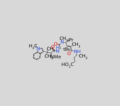 CN[C@H](C(=O)N[C@H](C(=O)N(C)[C@H](/C=C(\C)C(=O)N[C@H](C)CCC(=O)O)C(C)C)C(C)(C)C)C(C)(C)c1cn(C)c2ccccc12